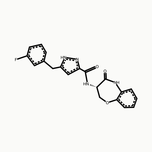 O=C(N[C@H]1COc2ccccc2NC1=O)c1cc(Cc2cccc(F)c2)[nH]n1